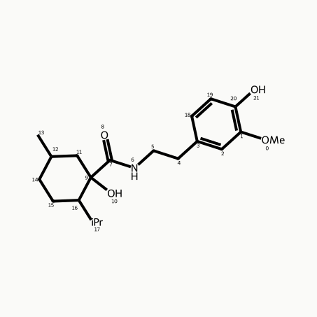 COc1cc(CCNC(=O)C2(O)CC(C)CCC2C(C)C)ccc1O